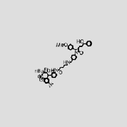 CCCCC1(CC)CS(=O)(=O)c2ccc(N(C)C)cc2C(c2cccc(NC(=O)CCCCNCc3ccc(N4C(=O)C(CCC(O)c5ccccc5)C4c4ccc(OC)cc4)cc3)c2)C1O